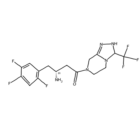 N[C@@H](CC(=O)N1CCN2C(=NNC2C(F)(F)F)C1)Cc1cc(F)c(F)cc1F